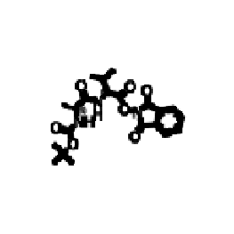 CC(C)[C@H](NC(=O)[C@H](C)NC(=O)OC(C)(C)C)C(=O)ON1C(=O)c2ccccc2C1=O